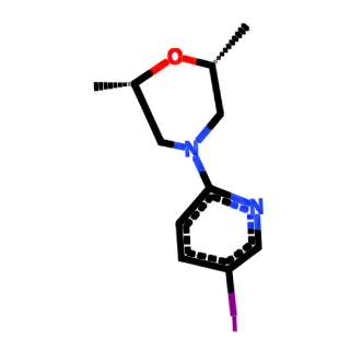 C[C@@H]1CN(c2ccc(I)cn2)C[C@H](C)O1